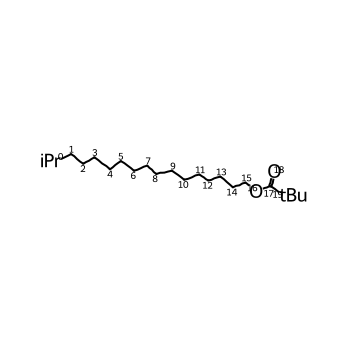 CC(C)CCCCCCCCCCCCCCCOC(=O)C(C)(C)C